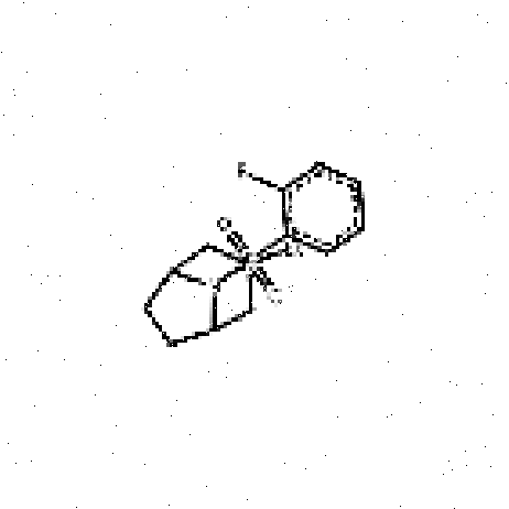 CCN1CC2CCC(C1)N2S(=O)(=O)c1ccccc1F